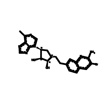 Cc1ncn([C@@H]2C[C@H](CCc3ccc4cc(Br)c(N)nc4c3)[C@@H](O)[C@H]2O)c2ncnc1-2